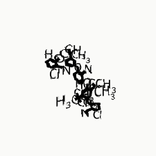 CC(C)(C)c1cc(Oc2cccc(Oc3cc(C(C)(C)C)c(Oc4cccc(Cl)c4C#N)cc3C(C)(C)C)c2C#N)ccc1Oc1cccc(Cl)c1C#N